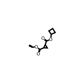 C=COC(=O)C1CC1C(=O)OC1CCC1